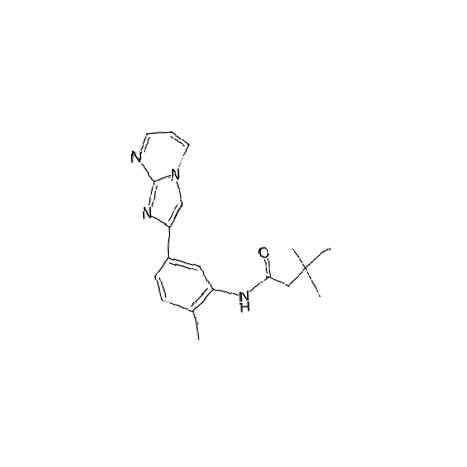 Cc1ccc(-c2cn3cccnc3n2)cc1NC(=O)CC(C)(C)C